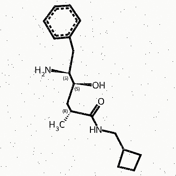 C[C@H](C[C@H](O)[C@@H](N)Cc1ccccc1)C(=O)NCC1CCC1